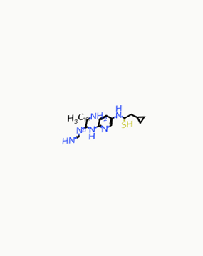 C[C@H](N)/C(=N/C=N)Nc1ccc(NC(S)CC2CC2)cn1